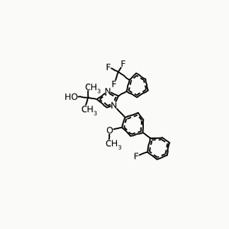 COc1cc(-c2ccccc2F)ccc1-n1cc(C(C)(C)O)nc1-c1ccccc1C(F)(F)F